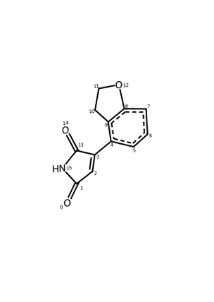 O=C1C=C(c2cccc3c2CCO3)C(=O)N1